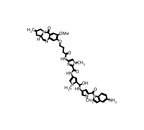 C=C1C[C@H]2C=Nc3cc(OCCCC(=O)Nc4cn(C)c(C(=O)Nc5cc(C(O)Nc6cc(C(=O)n7ccc8cc(N)ccc87)n(C)c6)n(C)c5)n4)c(OC)cc3C(=O)N2C1